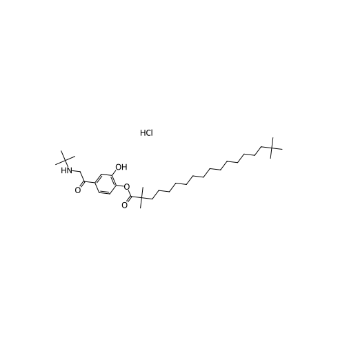 CC(C)(C)CCCCCCCCCCCCCCC(C)(C)C(=O)Oc1ccc(C(=O)CNC(C)(C)C)cc1O.Cl